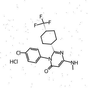 CNc1cc(=O)n(-c2ccc(Cl)cc2)c([C@H]2CC[C@@H](C(F)(F)F)CC2)n1.Cl